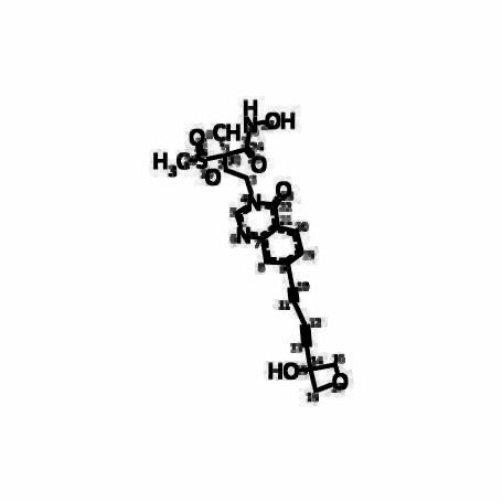 C[C@@](CCn1cnc2cc(C#CC#CC3(O)COC3)ccc2c1=O)(C(=O)NO)S(C)(=O)=O